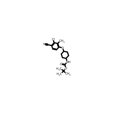 Cc1c(OC2CCC(NC(=O)OC(C)(C)C)CC2)ccc(C#N)c1Cl